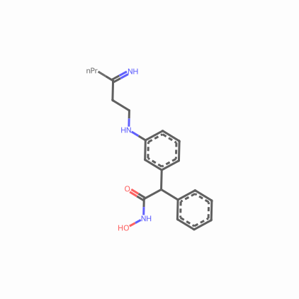 CCCC(=N)CCNc1cccc(C(C(=O)NO)c2ccccc2)c1